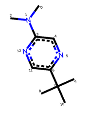 CN(C)c1cnc(C(C)(C)C)cn1